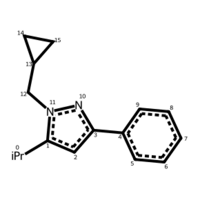 CC(C)c1cc(-c2ccccc2)nn1CC1CC1